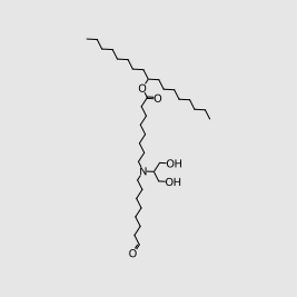 CCCCCCCCC(CCCCCCCC)OC(=O)CCCCCCCN(CCCCCCCC=O)C(CO)CO